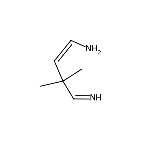 CC(C)(C=N)/C=C\N